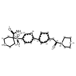 NC(=O)C1(S(=O)(=O)c2ccc(-c3ccc(CC(=O)N4CCCCC4)cc3)nc2)CCOCC1